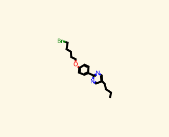 CCCCc1cnc(-c2ccc(OCCCCCBr)cc2)nc1